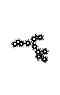 c1cc(-c2ccc(N(c3ccc(-c4ccc5c(ccc6ccccc65)c4)cc3)c3ccc4sc5ccccc5c4c3)cc2)cc(-c2ccccc2-n2c3ccccc3c3ccccc32)c1